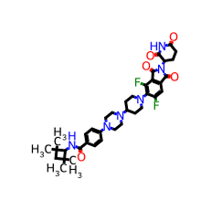 CC1(C)CC(C)(C)C1NC(=O)c1ccc(N2CCN(C3CCN(c4c(F)cc5c(c4F)C(=O)N(C4CCC(=O)NC4=O)C5=O)CC3)CC2)cc1